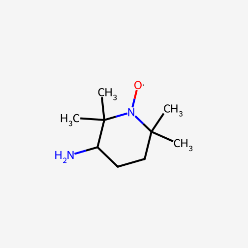 CC1(C)CCC(N)C(C)(C)N1[O]